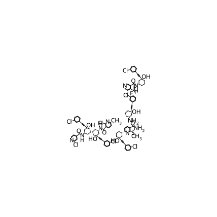 CSc1nc([C@H]2CCC[C@@](O)(C#Cc3cccc(Cl)c3)C2)ccc1C(N)=O.Cc1ccc(C(=O)N[C@H]2CCC[C@@](O)(C#Cc3cccc(Cl)c3)C2)c(Cl)n1.N[C@H]1CCC[C@@](O)(C#Cc2cccc(Cl)c2)C1.O=C(N[C@H]1CCC[C@@](O)(C#Cc2cccc(Cl)c2)C1)c1ccnc(Cl)c1.O=C(N[C@H]1CCC[C@@](O)(C#Cc2cccc(Cl)c2)C1)c1cnccc1C(F)(F)F